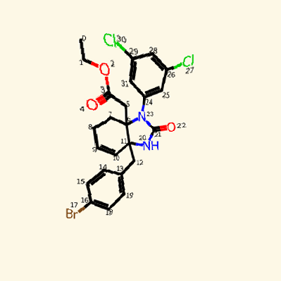 CCOC(=O)CC12CCC=CC1(Cc1ccc(Br)cc1)NC(=O)N2c1cc(Cl)cc(Cl)c1